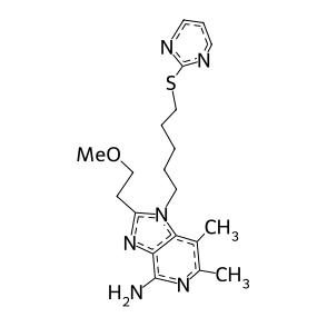 COCCc1nc2c(N)nc(C)c(C)c2n1CCCCCSc1ncccn1